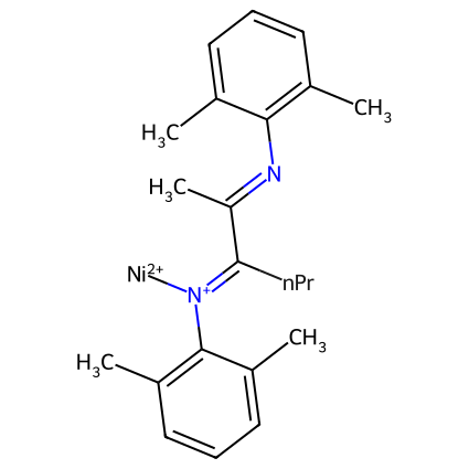 CCCC(C(C)=Nc1c(C)cccc1C)=[N+]([Ni+2])c1c(C)cccc1C